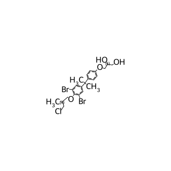 C[C@@H](CCl)COc1c(Br)cc(C(C)(C)c2ccc(OC[C@@H](O)CO)cc2)cc1Br